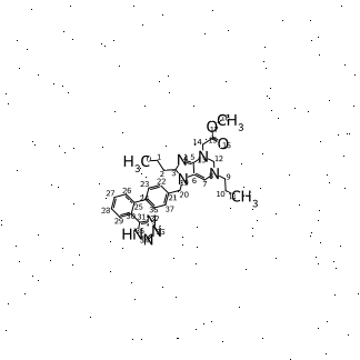 CCCC1N=C2C(=CN(CCC)CN2CC(=O)OC)N1Cc1ccc(-c2ccccc2-c2nnn[nH]2)cc1